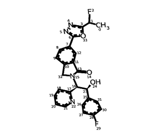 CC(F)c1nnc(-c2ccc3c(c2)C(=O)N([C@H](c2ccccn2)[C@@H](O)c2ccc(F)cc2)C3)o1